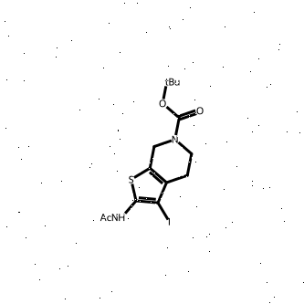 CC(=O)Nc1sc2c(c1I)CCN(C(=O)OC(C)(C)C)C2